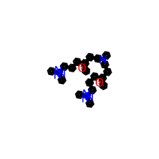 c1ccc(-c2nc(-c3ccccc3)nc(-c3cccc(-c4cccc(-c5cccc(-c6cc(-c7cccc(-c8ccc(N(c9ccccc9)c9ccc(-c%10cccc(-c%11cc(-c%12cccc(-c%13cccc(-c%14cccc(-c%15nc(-c%16ccccc%16)nc(-c%16ccccc%16)n%15)c%14)c%13)c%12)c%12oc%13ccccc%13c%12c%11)c%10)cc9)cc8)c7)cc7c6oc6ccccc67)c5)c4)c3)n2)cc1